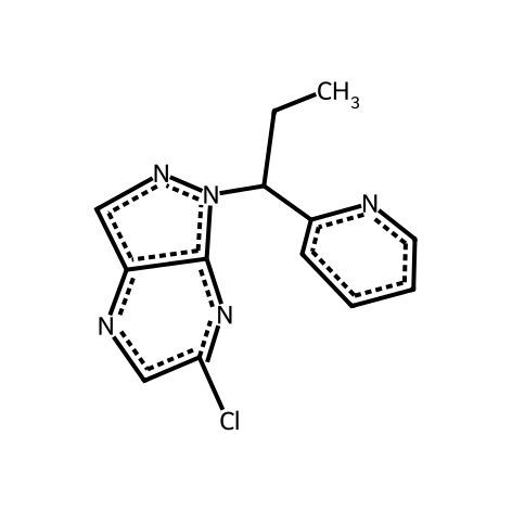 CCC(c1ccccn1)n1ncc2ncc(Cl)nc21